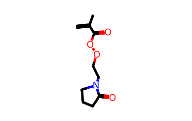 C=C(C)C(=O)OOCCN1CCCC1=O